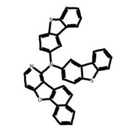 c1ccc2c(c1)ccc1c2oc2ccnc(N(c3ccc4sc5ccccc5c4c3)c3ccc4sc5ccccc5c4c3)c21